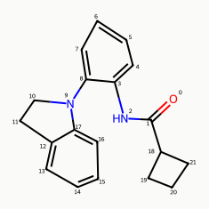 O=C(Nc1ccccc1N1CCc2ccccc21)C1CCC1